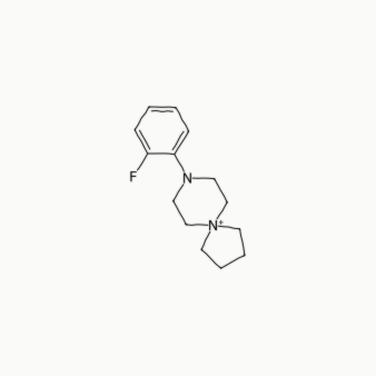 Fc1ccccc1N1CC[N+]2(CCCC2)CC1